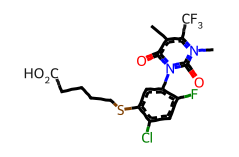 Cc1c(C(F)(F)F)n(C)c(=O)n(-c2cc(SCCCCC(=O)O)c(Cl)cc2F)c1=O